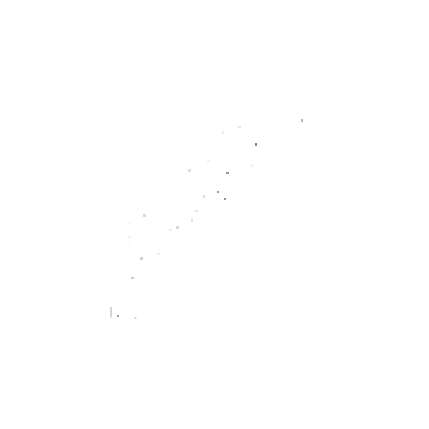 COc1cccc2c1CCc1cnc([AsH]c3cccc(-n4ccnc4)c3)nc1-2